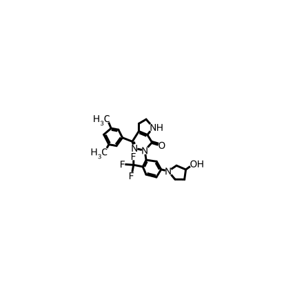 Cc1cc(C)cc(-c2nn(-c3cc(N4CCC(O)C4)ccc3C(F)(F)F)c(=O)c3c2CCN3)c1